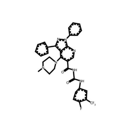 CN1CCN(c2c(C(=O)NC(=O)Nc3ccc(F)c(C(F)(F)F)c3)cnc3c2c(-c2ccccc2)nn3-c2ccccc2)CC1